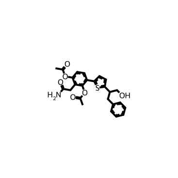 CC(=O)Oc1ccc(-c2ccc(C(CO)Cc3ccccc3)s2)c(OC(C)=O)c1CC(N)=O